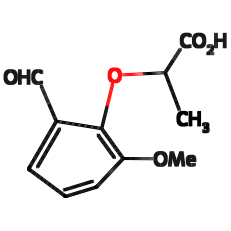 COc1cccc(C=O)c1OC(C)C(=O)O